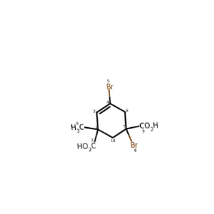 CC1(C(=O)O)C=C(Br)CC(Br)(C(=O)O)C1